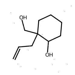 C=CCC1(CO)CCCCC1O